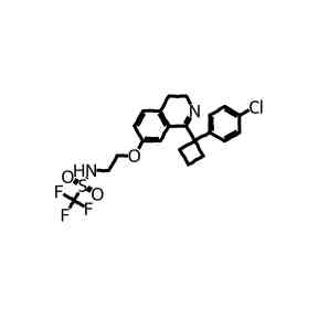 O=S(=O)(NCCOc1ccc2c(c1)C(C1(c3ccc(Cl)cc3)CCC1)=NCC2)C(F)(F)F